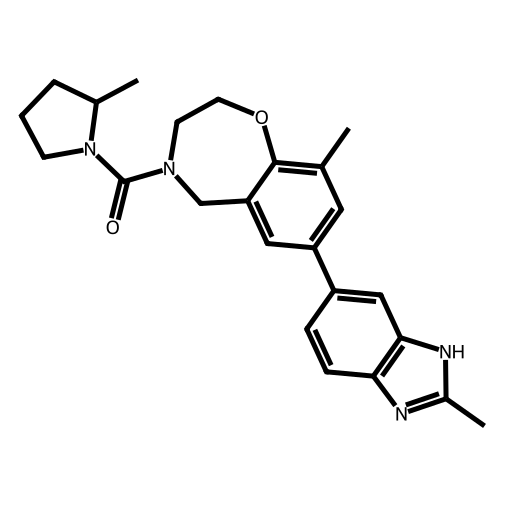 Cc1nc2ccc(-c3cc(C)c4c(c3)CN(C(=O)N3CCCC3C)CCO4)cc2[nH]1